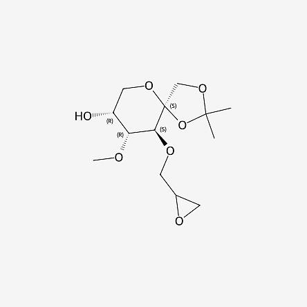 CO[C@@H]1[C@H](O)CO[C@]2(COC(C)(C)O2)[C@H]1OCC1CO1